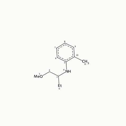 CCC(COC)Nc1ccccc1C